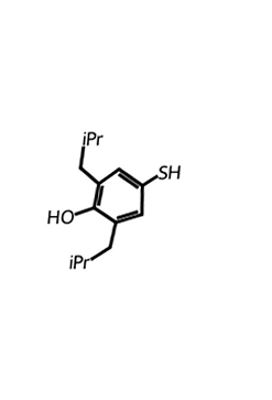 CC(C)Cc1cc(S)cc(CC(C)C)c1O